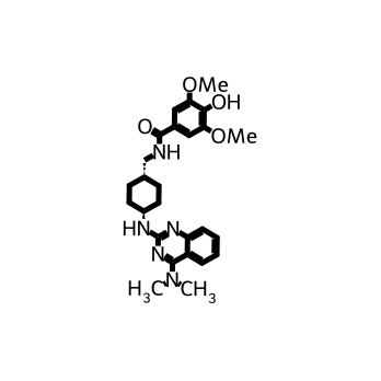 COc1cc(C(=O)NC[C@H]2CC[C@@H](Nc3nc(N(C)C)c4ccccc4n3)CC2)cc(OC)c1O